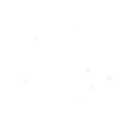 CN1C(=N)N[C@](C)(c2ccc3scc(C#N)c3c2)[C@@H](c2ccc(C(C)(F)F)cc2)C1=O